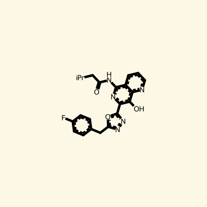 CC(C)CC(=O)Nc1nc(-c2nnc(Cc3ccc(F)cc3)o2)c(O)c2ncccc12